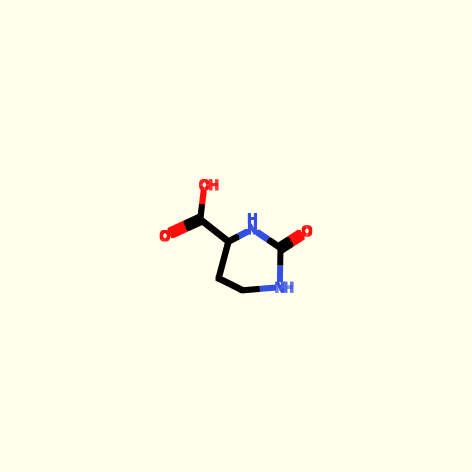 O=C1NCCC(C(=O)O)N1